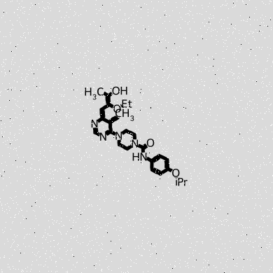 C/C=c1/c(N2CCN(C(=O)Nc3ccc(OC(C)C)cc3)CC2)ncn/c1=C/C(OCC)=C(\C)O